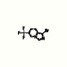 FC(F)(F)c1ccc2c(Br)ncn2c1